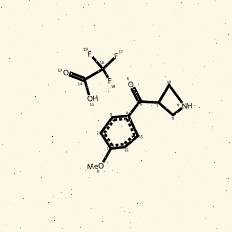 COc1ccc(C(=O)C2CNC2)cc1.O=C(O)C(F)(F)F